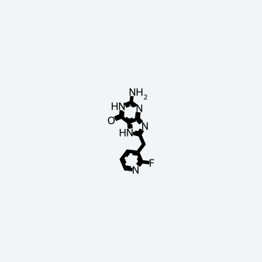 Nc1nc2nc(Cc3cccnc3F)[nH]c2c(=O)[nH]1